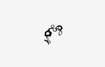 CC(C)Sc1ccc(CC(=O)ON2CCCC2=O)cc1